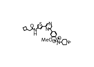 COc1cc(-c2cncc(-c3cc(NC(=O)CC4CCC4)cs3)n2)ccc1S(=O)(=O)N(C)C1CCN(C)CC1